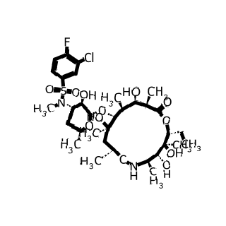 CC[C@H]1OC(=O)[C@H](C)[C@@H](O)[C@H](C)[C@@H](O[C@@H]2O[C@H](C)C[C@H](N(C)S(=O)(=O)c3ccc(F)c(Cl)c3)[C@H]2O)[C@](C)(O)C[C@@H](C)CN[C@H](C)[C@@H](O)[C@]1(C)O